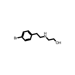 OCCNCCc1ccc(Br)cc1